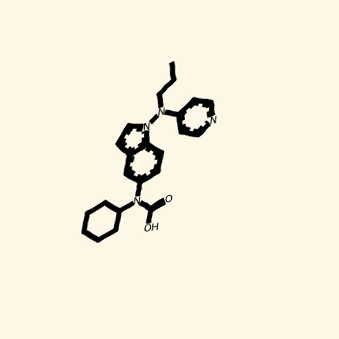 CCCN(c1ccncc1)n1ccc2cc(N(C(=O)O)C3CCCCC3)ccc21